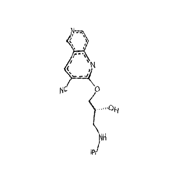 CC(C)NC[C@@H](O)COc1nc2ccncc2cc1C#N